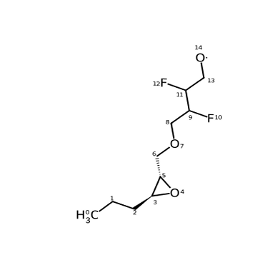 CCC[C@@H]1O[C@H]1COCC(F)C(F)C[O]